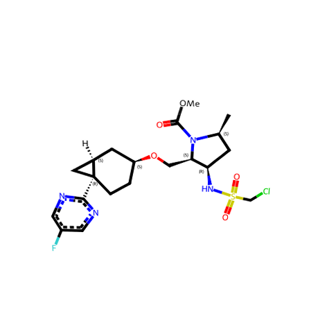 COC(=O)N1[C@H](CO[C@H]2CC[C@@]3(c4ncc(F)cn4)C[C@H]3C2)[C@H](NS(=O)(=O)CCl)C[C@@H]1C